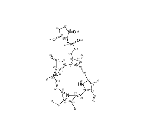 C=Cc1c(C)c2cc3nc(c4c5[nH]c(cc6nc(cc1[nH]2)C(C)=C6CC)c(C)c5C(=O)C4)C(CCC(=O)ON1C(=O)CCC1=O)[C@@H]3C